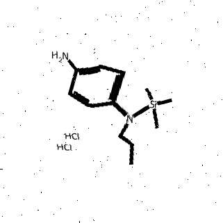 CCCN(c1ccc(N)cc1)[Si](C)(C)C.Cl.Cl